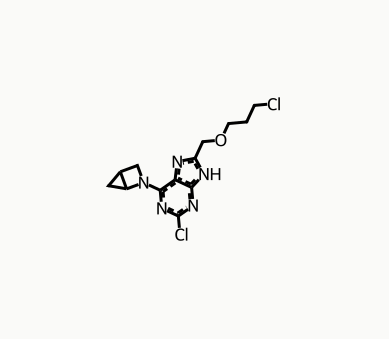 ClCCCOCc1nc2c(N3CC4CC43)nc(Cl)nc2[nH]1